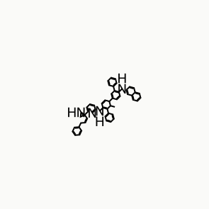 CC1C(c2ccccc2)=C(Nc2cccc(C3(/C=C\Cc4ccccc4)CN3)n2)C=CC1c1ccc(Nc2ccc3ccccc3c2)c(-c2ccccc2)c1